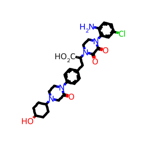 Nc1ccc(Cl)cc1N1CCN(C(Cc2ccc(N3CCN(C4CCC(O)CC4)CC3=O)cc2)C(=O)O)C(=O)C1=O